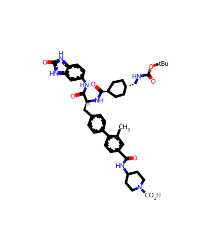 Cc1cc(C(=O)NC2CCN(C(=O)O)CC2)ccc1-c1ccc(C[C@H](NC(=O)[C@H]2CC[C@H](CNC(=O)OC(C)(C)C)CC2)C(=O)Nc2ccc3[nH]c(=O)[nH]c3c2)cc1